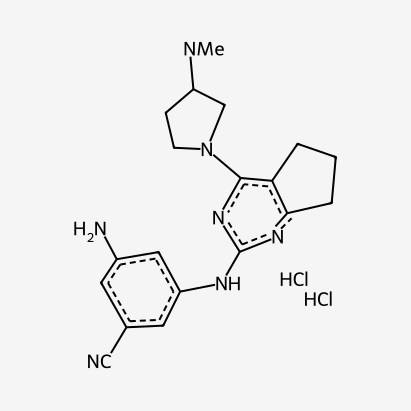 CNC1CCN(c2nc(Nc3cc(N)cc(C#N)c3)nc3c2CCC3)C1.Cl.Cl